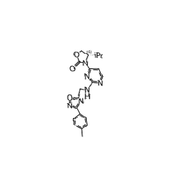 Cc1ccc(-c2noc(CNc3nccc(N4C(=O)OC[C@@H]4C(C)C)n3)n2)cc1